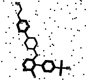 CCCc1cnc(N2CCC(Oc3cc[nH]c(=O)c3-c3ccc(S(N)(=O)=O)cc3)CC2)nc1